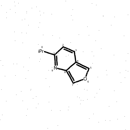 CC(C)c1ccc2cocc2n1